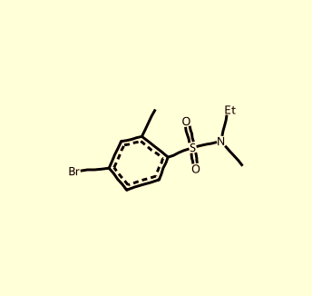 CCN(C)S(=O)(=O)c1ccc(Br)cc1C